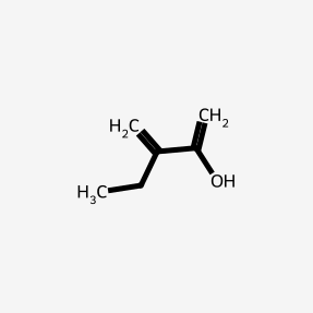 C=C(O)C(=C)CC